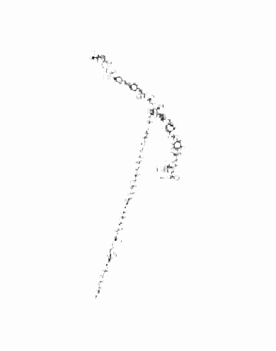 N[C@@H](C[C@H](CCCC(=O)Nc1ccc(/N=N/c2ccc(NC(=O)CNC(=O)CC[C@@H](NC(=O)CCOCCOCCOCCOCCOCCOCCOCCOCCOCCOCCOCCOCCNC(=O)CCCC(=O)NCCOCCOCCCCCCCl)C(=O)NCC(=O)Nc3ccc(/N=N/c4ccc(NC(=O)CCC[C@@H](C[C@H](N)C(=O)O)C(=O)O)cc4)cc3)cc2)cc1)C(=O)O)C(=O)O